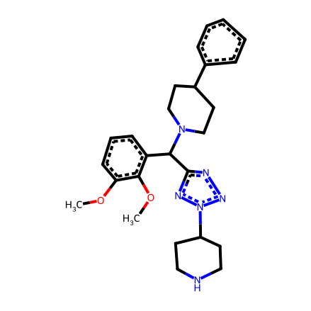 COc1cccc(C(c2nnn(C3CCNCC3)n2)N2CCC(c3ccccc3)CC2)c1OC